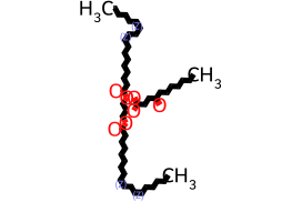 CCCCC/C=C\C/C=C\CCCCCCCC(=O)OCC(COC(=O)CCCCCCC/C=C\C/C=C\CCCCC)OC(=O)CCC(=O)CCCCCCC